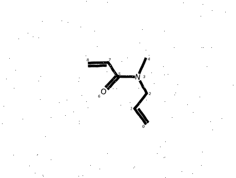 C=CCN(C)C(=O)C=C